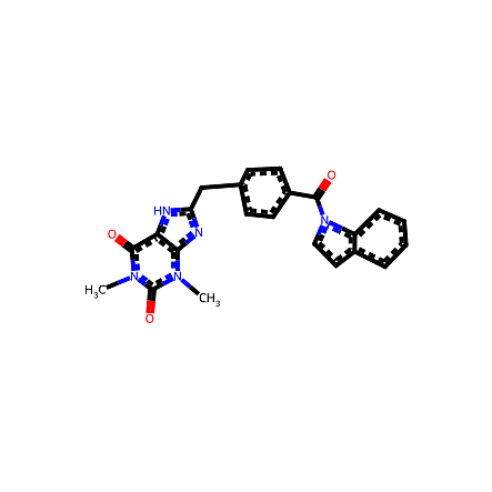 Cn1c(=O)c2[nH]c(Cc3ccc(C(=O)n4ccc5ccccc54)cc3)nc2n(C)c1=O